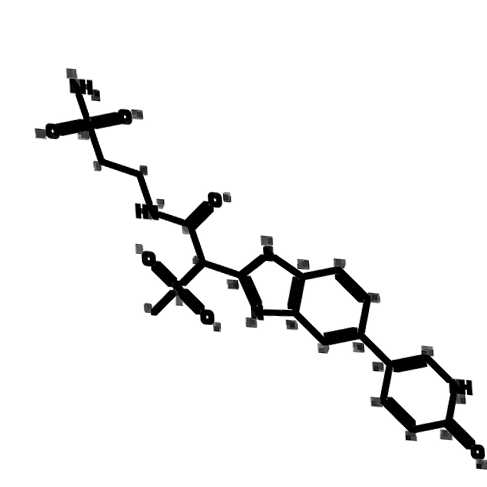 CS(=O)(=O)C(C(=O)NCCS(N)(=O)=O)c1nc2cc(-c3ccc(=O)[nH]c3)ccc2s1